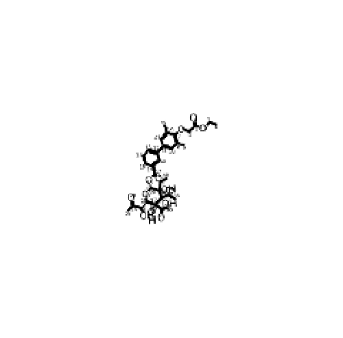 CCOC(=O)COc1c(C)cc(-c2cccc(CO[C@H]3O[C@H](C(O)C(C)=O)[C@](O)(C(C)=O)[C@@](O)(C(C)=O)[C@@]3(O)C(C)=O)c2)cc1C